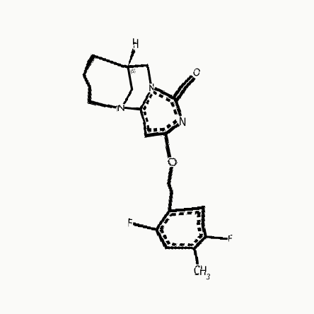 Cc1cc(F)c(COc2cc3n(c(=O)n2)C[C@H]2CCCN3C2)cc1F